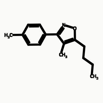 CCCCc1onc(-c2ccc(C)cc2)c1C